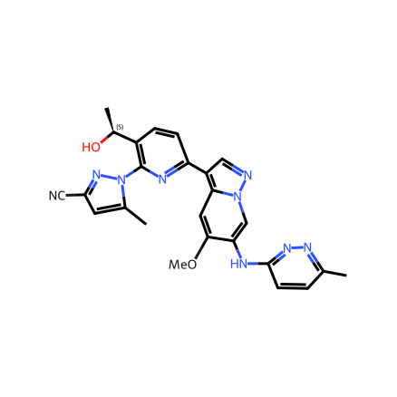 COc1cc2c(-c3ccc([C@H](C)O)c(-n4nc(C#N)cc4C)n3)cnn2cc1Nc1ccc(C)nn1